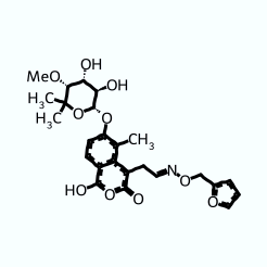 CO[C@@H]1[C@H](O)[C@@H](O)[C@H](Oc2ccc3c(O)oc(=O)c(CC=NOCc4ccco4)c3c2C)OC1(C)C